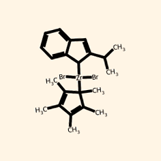 CC1=C(C)[C](C)([Zr]([Br])([Br])[CH]2C(C(C)C)=Cc3ccccc32)C(C)=C1C